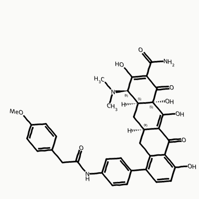 COc1ccc(CC(=O)Nc2ccc(-c3ccc(O)c4c3C[C@H]3C[C@H]5[C@@H](N(C)C)C(O)=C(C(N)=O)C(=O)[C@@]5(O)C(O)=C3C4=O)cc2)cc1